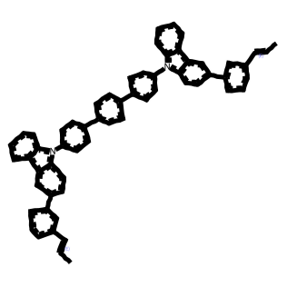 C/C=C/c1cccc(-c2ccc3c(c2)c2ccccc2n3-c2ccc(-c3ccc(-c4ccc(-n5c6ccccc6c6cc(-c7cccc(/C=C/C)c7)ccc65)cc4)cc3)cc2)c1